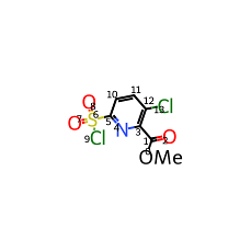 COC(=O)c1nc(S(=O)(=O)Cl)ccc1Cl